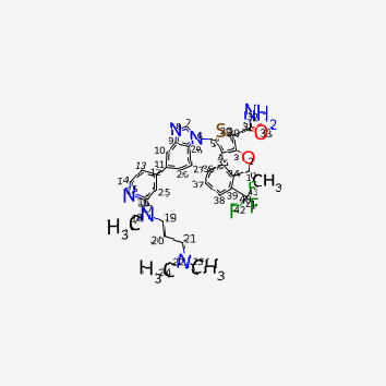 C[C@@H](Oc1cc(-n2cnc3cc(-c4ccnc(N(C)CCCN(C)C)c4)ccc32)sc1C(N)=O)c1ccccc1C(F)(F)F